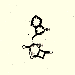 O=C1CC(=O)C1N[C@@H](Cc1c[nH]c2ccccc12)C(=O)O